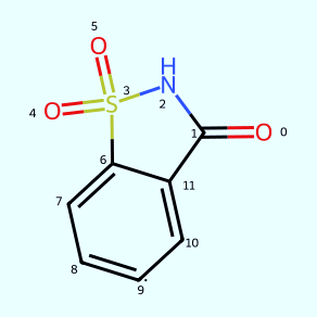 O=C1NS(=O)(=O)c2cc[c]cc21